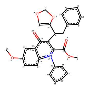 COC(=O)c1c(C(Cc2ccccc2)C2=COCO2)c(=O)c2cc(OC)ccc2n1-c1ccccc1